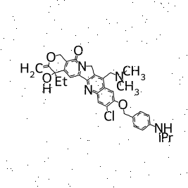 C=C1OCc2c(cc3n(c2=O)Cc2c-3nc3cc(Cl)c(OCc4ccc(NC(C)C)cc4)cc3c2CN(C)C)[C@@]1(O)CC